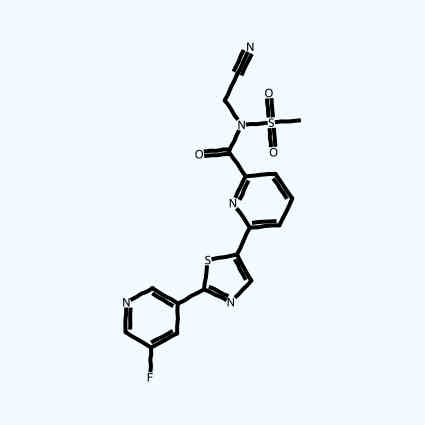 CS(=O)(=O)N(CC#N)C(=O)c1cccc(-c2cnc(-c3cncc(F)c3)s2)n1